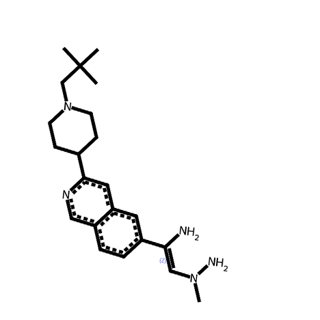 CN(N)/C=C(\N)c1ccc2cnc(C3CCN(CC(C)(C)C)CC3)cc2c1